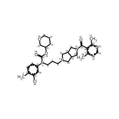 Cc1ccc(N(CCCN2CC3CN(C(=O)c4c(C)ncnc4C)CC3C2)C(=O)OC2CCCOC2)cc1Cl